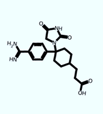 N=C(N)c1ccc(C2(N3CC(=O)NC3=O)CCC(CCC(=O)O)CC2)cc1